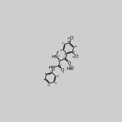 Br.CN[C@H](C(=O)Nc1ccccc1)C(=O)c1ccc(Cl)cc1Cl